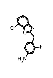 Nc1ccc(Cc2nc3cccc(Cl)c3o2)c(F)c1